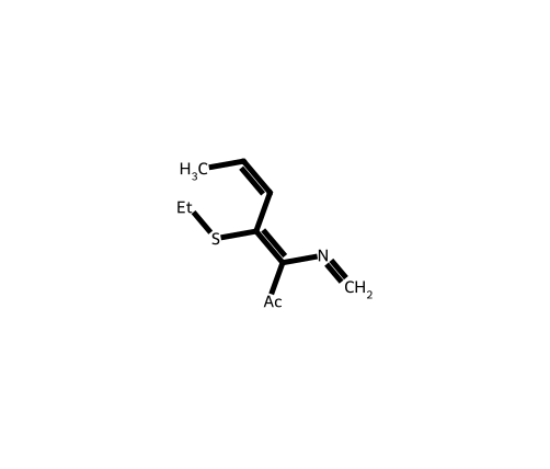 C=N/C(C(C)=O)=C(\C=C/C)SCC